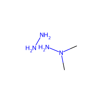 CN(C)N.NN